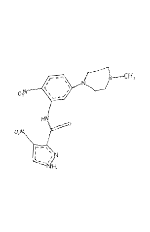 CN1CCN(c2ccc([N+](=O)[O-])c(NC(=O)c3n[nH]cc3[N+](=O)[O-])c2)CC1